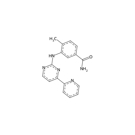 Cc1ccc(C(N)=O)cc1Nc1nccc(-c2ccccn2)n1